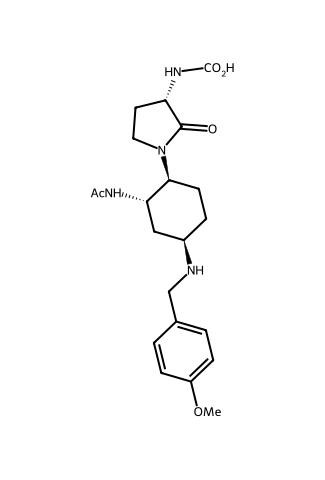 COc1ccc(CN[C@@H]2CC[C@H](N3CC[C@H](NC(=O)O)C3=O)[C@@H](NC(C)=O)C2)cc1